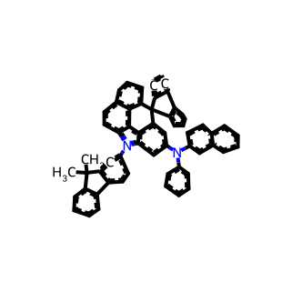 CC1(C)c2ccccc2-c2ccc(-n3c4cc(N(c5ccccc5)c5ccc6ccccc6c5)cc5c4c4c6c(cccc6ccc43)C53c4ccccc4-c4ccccc43)cc21